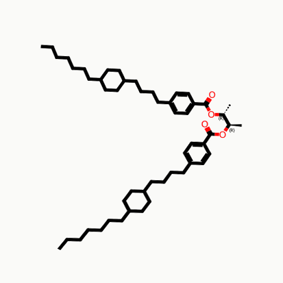 CCCCCCCC1CCC(CCCCc2ccc(C(=O)O[C@H](C)[C@@H](C)OC(=O)c3ccc(CCCCC4CCC(CCCCCCC)CC4)cc3)cc2)CC1